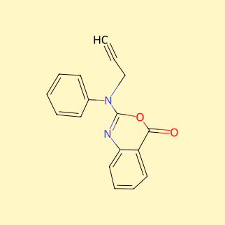 C#CCN(c1ccccc1)c1nc2ccccc2c(=O)o1